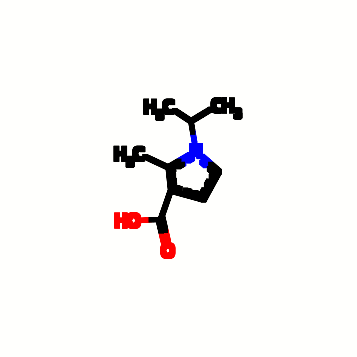 Cc1c(C(=O)O)ccn1C(C)C